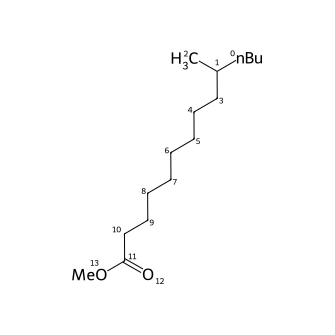 CCCCC(C)CCCCCCCCC(=O)OC